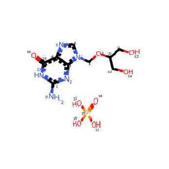 Nc1nc2c(ncn2COC(CO)CO)c(=O)[nH]1.O=P(O)(O)O